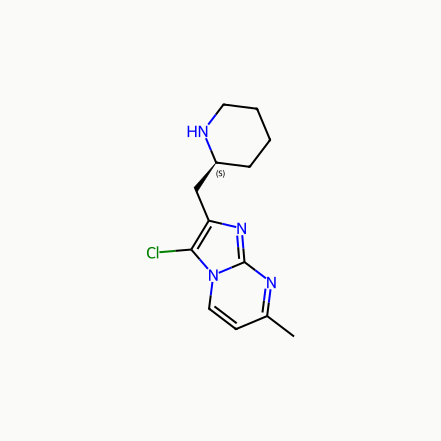 Cc1ccn2c(Cl)c(C[C@@H]3CCCCN3)nc2n1